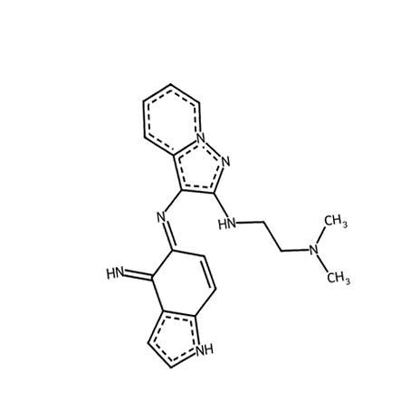 CN(C)CCNc1nn2ccccc2c1/N=C1\C=Cc2[nH]ccc2C1=N